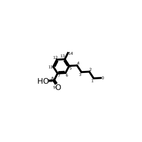 CCCCCc1cc(C(=O)O)ccc1C